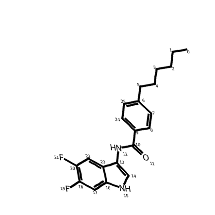 CCCCCCc1ccc(C(=O)Nc2c[nH]c3cc(F)c(F)cc23)cc1